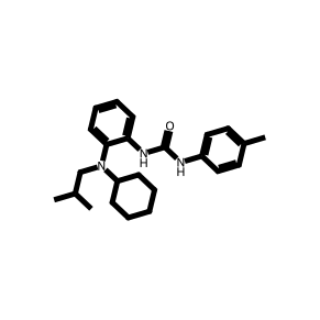 Cc1ccc(NC(=O)Nc2ccccc2N(CC(C)C)C2CCCCC2)cc1